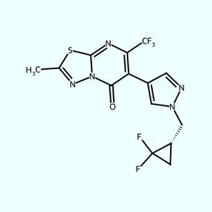 Cc1nn2c(=O)c(-c3cnn(C[C@@H]4CC4(F)F)c3)c(C(F)(F)F)nc2s1